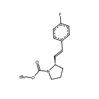 CC(C)(C)OC(=O)N1CCC[C@@H]1/C=C/c1ccc(F)cc1